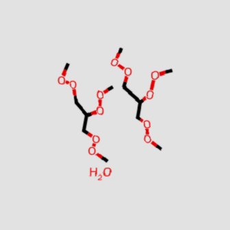 COOCC(COOC)OOC.COOCC(COOC)OOC.O